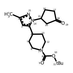 Cc1cc(C2CCN(C(=O)OC(C)(C)C)CC2)n(C2CCC(=O)C2)n1